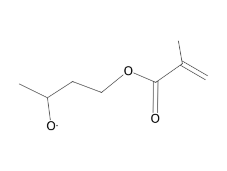 C=C(C)C(=O)OCCC(C)[O]